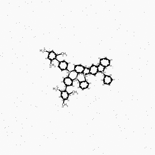 Cc1cc(C)c(-c2ccc(N3c4ccc(-c5c(C)cc(C)cc5C)cc4B4c5ccccc5-n5c6cc7c(cc6c6ccc3c4c65)c3ccccc3n7-c3ccccc3)cc2)c(C)c1